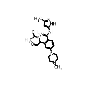 Cc1cc(NC2=NN(C(C)C)C(C=O)c3cc(N4CCN(C)CC4)ccc32)[nH]n1